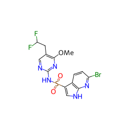 COc1nc(NS(=O)(=O)c2c[nH]c3nc(Br)ccc23)ncc1CC(F)F